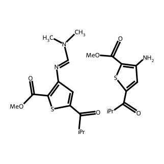 COC(=O)c1sc(C(=O)C(C)C)cc1/N=C/N(C)C.COC(=O)c1sc(C(=O)C(C)C)cc1N